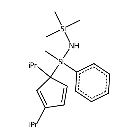 CC(C)C1=CC(C(C)C)([Si](C)(N[Si](C)(C)C)c2ccccc2)C=C1